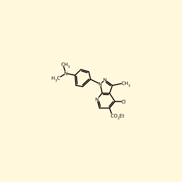 CCOC(=O)c1cnc2c(c(C)nn2-c2ccc(N(C)C)cc2)c1Cl